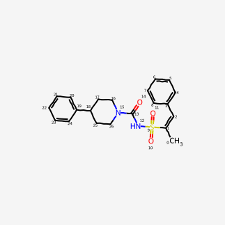 CC(=Cc1ccccc1)S(=O)(=O)NC(=O)N1CCC(c2ccccc2)CC1